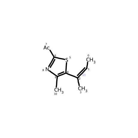 C/C=C(/C)c1sc(C(C)=O)nc1C